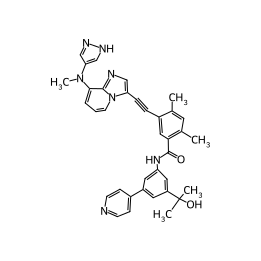 Cc1cc(C)c(C(=O)Nc2cc(-c3ccncc3)cc(C(C)(C)O)c2)cc1C#Cc1cnc2c(N(C)c3cn[nH]c3)cccn12